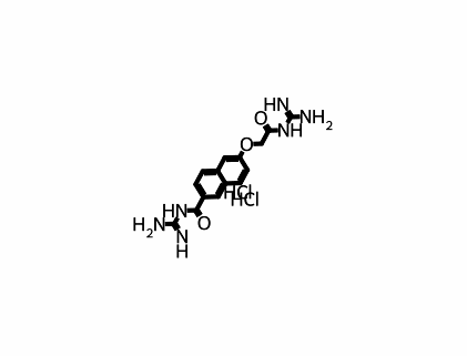 Cl.Cl.N=C(N)NC(=O)COc1ccc2cc(C(=O)NC(=N)N)ccc2c1